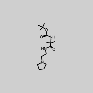 CC(C)(C)OC(=O)NC(C)(C)C(=O)NCCN1CCCC1